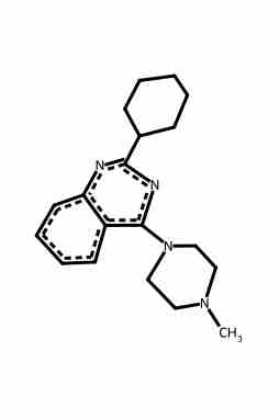 CN1CCN(c2nc(C3CCCCC3)nc3ccccc23)CC1